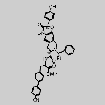 CC[C@@H](c1ccccc1)N1Cc2cc3c(cc2C[C@H]1C(=O)NC(Cc1ccc(-c2ccc(C#N)cc2)cc1)C(=O)OC)N(C)C(=O)[C@@H](c1ccc(O)cc1)O3